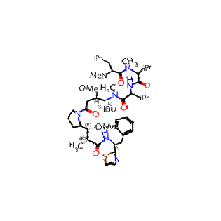 CC[C@H](C)[C@@H]([C@@H](CC(=O)N1CCCC1[C@H](OC)[C@@H](C)C(=O)N[C@@H](Cc1ccccc1)c1nccs1)OC)N(C)C(=O)C(NC(=O)C(C(C)C)N(C)C(=O)C(CC(C)C)NC)C(C)C